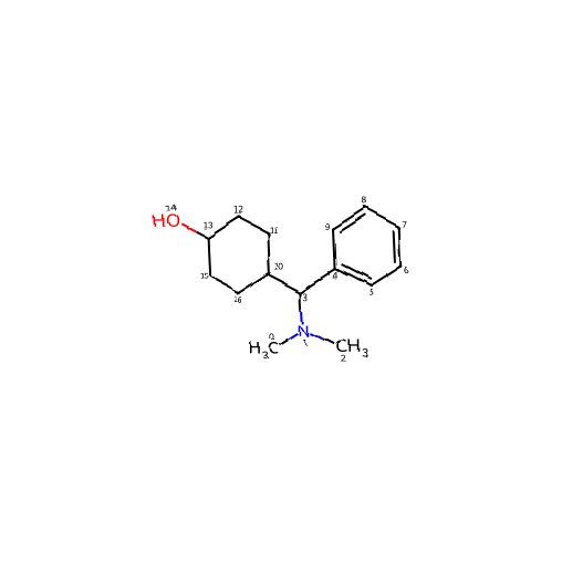 CN(C)C(c1ccccc1)C1CCC(O)CC1